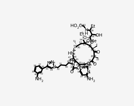 CCO[C@@H](O[C@@H]1[C@@H](C)C(=O)[C@@H](C)C(=O)O[C@H](CC)[C@@]2(n3ccc(N)nc3=O)OC(=O)N(CCCCn3cc(-c4cccc(N)c4)nn3)[C@@H]2[C@@H](C)NC[C@H](C)C[C@@]1(C)OC)C(O)C(CC)NCC(=O)O